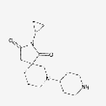 O=C1CC2(CCCN(C3CCNCC3)C2)C(=O)N1C1CC1